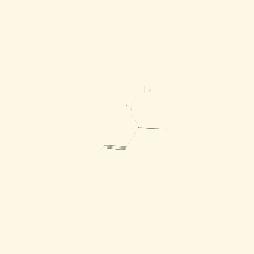 CCC=CC(CC)NC(C)(C)C